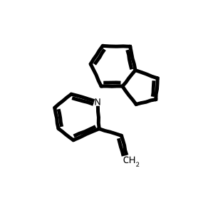 C1=Cc2ccccc2C1.C=Cc1ccccn1